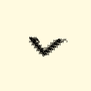 O=S(=O)(O)O.O=S(=O)(O)O.O=S(=O)(O)O.O=S(=O)(O)O.O=S(=O)(O)O.O=S(=O)(O)O.O=S(=O)(O)O.O=S(=O)(O)O.O=S(=O)(O)O.O=S(=O)(O)O.[MgH2].[MgH2].[MgH2].[MgH2].[MgH2]